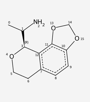 CC(N)[C@@H]1OCCc2ccc3c(c21)OCO3